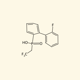 O=P(O)(CC(F)(F)F)c1ccccc1-c1ccccc1F